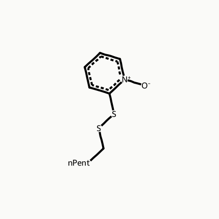 CCCCCCSSc1cccc[n+]1[O-]